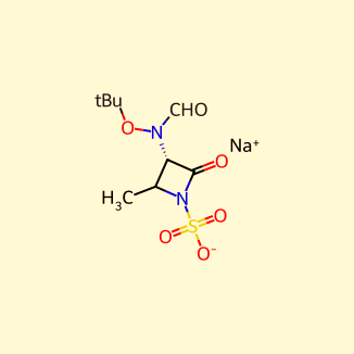 CC1[C@H](N(C=O)OC(C)(C)C)C(=O)N1S(=O)(=O)[O-].[Na+]